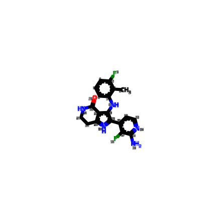 Cc1c(F)cccc1Nc1c(-c2ccnc(N)c2F)[nH]c2c1C(=O)NCC2